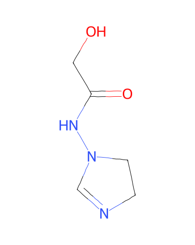 O=C(CO)NN1C=NCC1